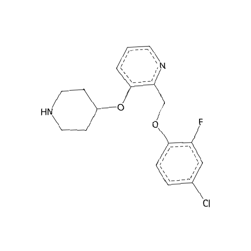 Fc1cc(Cl)ccc1OCc1ncccc1OC1CCNCC1